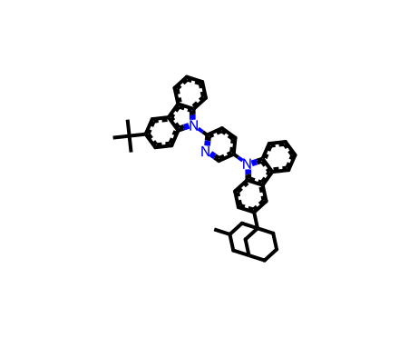 CC1CC2CCCC(c3ccc4c(c3)c3ccccc3n4-c3ccc(-n4c5ccccc5c5cc(C(C)(C)C)ccc54)nc3)(C1)C2